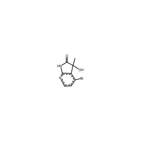 CC1(O)C(=O)Nc2nccc(Br)c21